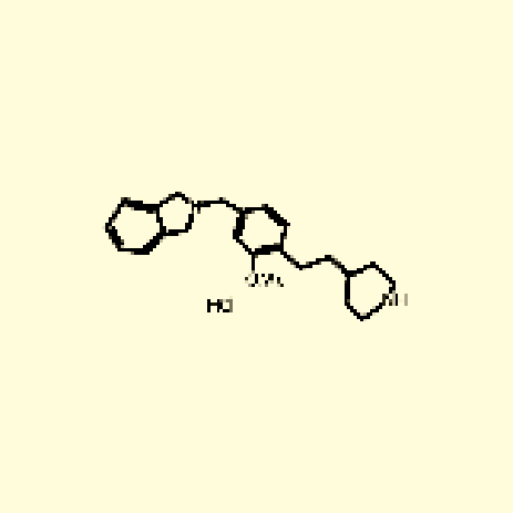 COc1cc(CN2Cc3ccccc3C2)ccc1CCC1CCNCC1.Cl